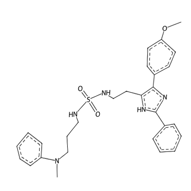 COc1ccc(-c2nc(-c3ccccc3)[nH]c2CCNS(=O)(=O)NCCCN(C)c2ccccc2)cc1